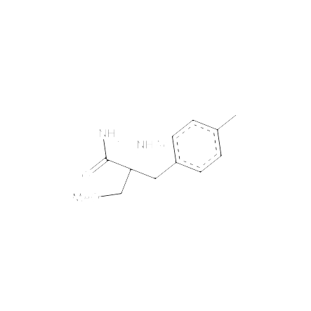 COC[C@@](Cc1ccc(I)cc1)(NC(C)=O)C(N)=O